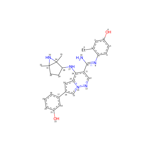 CCc1cc(O)ccc1/N=C(\N)c1cnn2cc(-c3cccc(O)c3)cc2c1NC1CCC2(C)NC12C